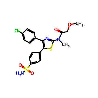 COCC(=O)N(C)c1nc(-c2ccc(Cl)cc2)c(-c2ccc(S(N)(=O)=O)cc2)s1